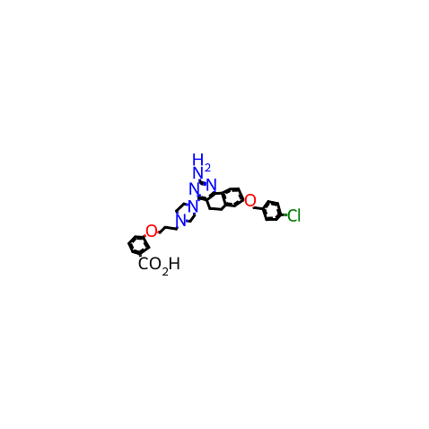 Nc1nc2c(c(N3CCN(CCCOc4cccc(C(=O)O)c4)CC3)n1)CCc1cc(OCc3ccc(Cl)cc3)ccc1-2